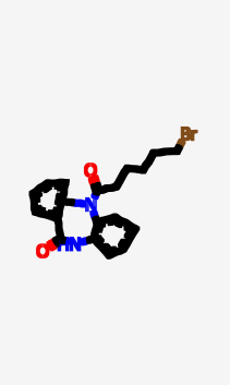 O=C1Nc2ccccc2N(C(=O)CCCCCBr)c2ccccc21